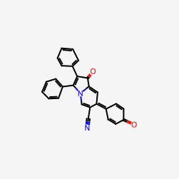 N#CC1=CN2C(=CC1=C1C=CC(=O)C=C1)C(=O)C(c1ccccc1)=C2c1ccccc1